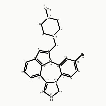 CN1CCN(Cc2cc3cccc4c5n(c6ccc(Br)cc6n2c34)CNN=5)CC1